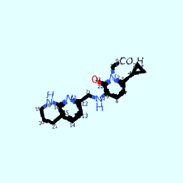 O=C(O)Cn1c(C2CC2)ccc(NCc2ccc3c(n2)NCCC3)c1=O